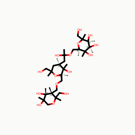 CC(O)(C[C@]1(C)CC(C)(CO)O[C@](C)(COC[C@]2(C)C(C)(CO)OCC(C)(O)[C@]2(C)O)C1(C)O)OC[C@@]1(C)OC(C)(CO)[C@@](C)(O)[C@@](C)(O)C1(C)O